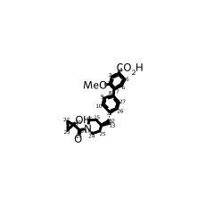 COc1cc(C(=O)O)ccc1-c1ccc([C@@H]2CC23CCN(C(=O)C2(O)CC2)CC3)cc1